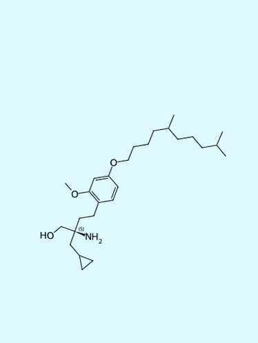 COc1cc(OCCCCC(C)CCCC(C)C)ccc1CC[C@@](N)(CO)CC1CC1